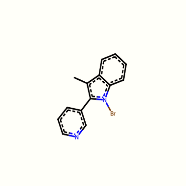 Cc1c(-c2cccnc2)n(Br)c2ccccc12